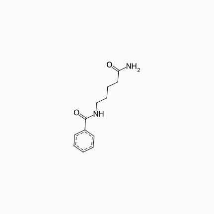 NC(=O)CCCCNC(=O)c1ccccc1